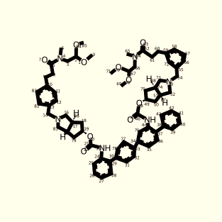 COC(CN(C)C(=O)CCc1ccc(CN2C[C@H]3C[C@H](OC(=O)Nc4ccccc4-c4ccc(-c5ccc(-c6ccccc6)c(NC(=O)O[C@H]6C[C@@H]7CN(Cc8cccc(CCC(=O)N(C)CC(OC)OC)c8)C[C@@H]7C6)c5)cc4)C[C@H]3C2)cc1)OC